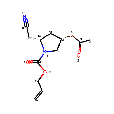 C=CCOC(=O)N1C[C@@H](SC(C)=O)C[C@H]1CC#N